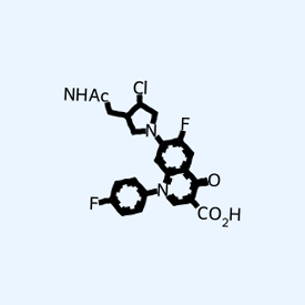 CC(=O)NCC1CN(c2cc3c(cc2F)c(=O)c(C(=O)O)cn3-c2ccc(F)cc2)CC1Cl